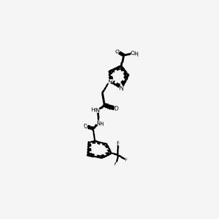 O=C(Cn1cc(C(=O)O)cn1)NNC(=O)c1cccc(C(F)(F)F)c1